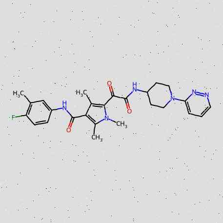 Cc1cc(NC(=O)c2c(C)c(C(=O)C(=O)NC3CCN(c4cccnn4)CC3)n(C)c2C)ccc1F